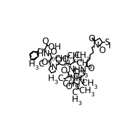 CC[C@H](C)C([C@@H](CC(=O)N1CCCC1[C@H](OC)[C@@H](C)C(=O)N[C@@H](Cc1ccccc1)C(=O)O)OC)N(C)C(=O)[C@@H](NC(=O)[C@H](C(C)C)N(C)C(=O)CNC(=O)CCCCCN1C(=O)CC(SI)C1=O)C(C)C